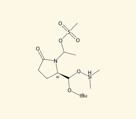 CC(OS(C)(=O)=O)N1C(=O)CC[C@@H]1C(O[SiH](C)C)OC(C)(C)C